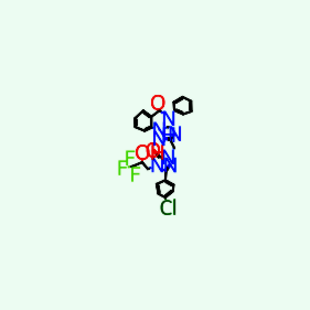 O=C(Nc1ccccc1)c1ccccc1-n1cnc(Cn2nc(-c3ccc(Cl)cc3)n(CC(O)C(F)(F)F)c2=O)n1